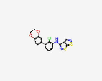 Clc1c(Nc2nsc3sncc23)cccc1-c1ccc2c(c1)OCCO2